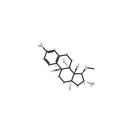 CO[C@@H]1[C@H]2[C@@H]3CCc4cc(O)ccc4[C@H]3CC[C@]2(C)C[C@H]1O